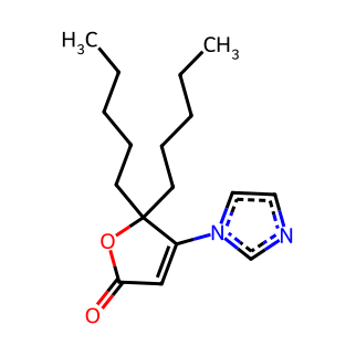 CCCCCC1(CCCCC)OC(=O)C=C1n1ccnc1